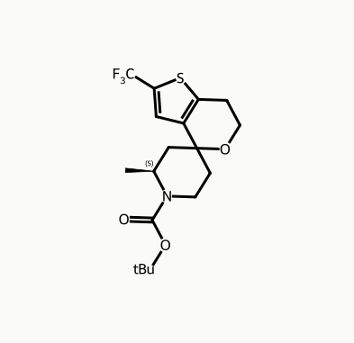 C[C@H]1CC2(CCN1C(=O)OC(C)(C)C)OCCc1sc(C(F)(F)F)cc12